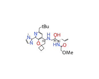 C=CC[C@H](NC(=O)COC)[C@H](O)CN[C@H]1CC2(CCC2)Oc2c1cc(CC(C)(C)C)nc2-c1nccn1C